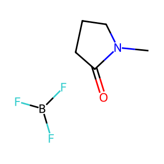 CN1CCCC1=O.FB(F)F